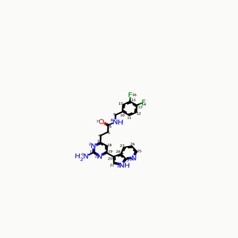 Nc1nc(CCC(=O)NCc2ccc(F)c(F)c2)cc(-c2c[nH]c3ncccc23)n1